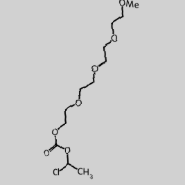 COCCOCCOCCOCCOC(=O)OC(C)Cl